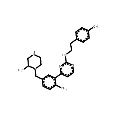 Cc1ccc(CN2CCNCC2C)cc1-c1ccnc(NCCc2ccc(O)cc2)n1